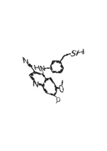 COc1cc2ncc(C#N)c(Nc3cccc(CS)c3)c2cc1OC